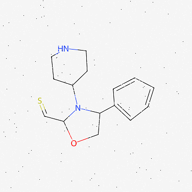 S=CC1OCC(c2ccccc2)N1C1CCNCC1